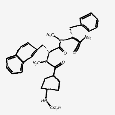 CNC(=O)[C@@H](Cc1ccccc1)N(C)C(=O)[C@@H](Cc1ccc2ccccc2c1)N(C)C(=O)C1CCC(NC(=O)O)CC1